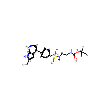 CCc1cc2c(-c3ccc(S(=O)(=O)NCCNC(=O)OC(C)(C)C)cc3)ccnc2[nH]1